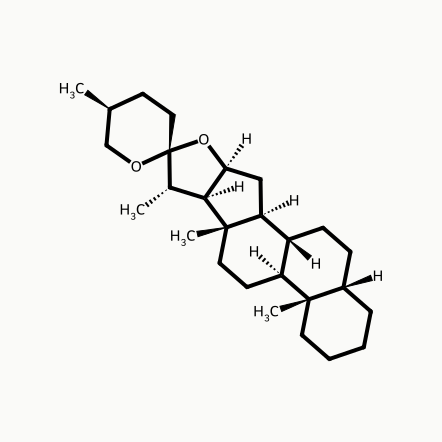 C[C@H]1CC[C@@]2(OC1)O[C@H]1C[C@H]3[C@@H]4CC[C@@H]5CCCC[C@]5(C)[C@H]4CC[C@]3(C)[C@H]1[C@@H]2C